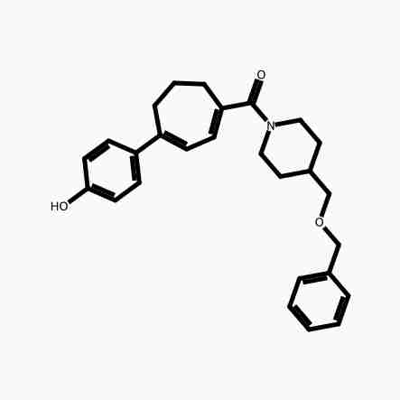 O=C(C1=CC=C(c2ccc(O)cc2)CCC1)N1CCC(COCc2ccccc2)CC1